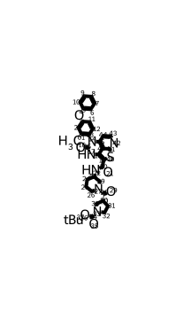 Cc1cc(Oc2ccccc2)ccc1N1C(=O)Nc2c(C(=O)N[C@@H]3CCCN(C(=O)[C@@H]4CCN(C(=O)OC(C)(C)C)C4)C3)sc3nccc1c23